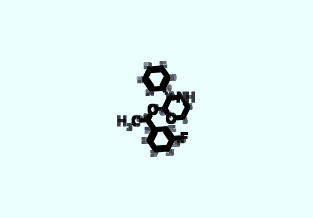 C[C@@H](O[C@H]1OCCN[C@H]1c1ccccc1)c1cccc(F)c1